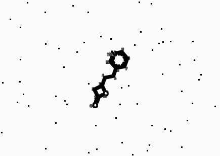 O=C1CC(CCc2cccnc2)O1